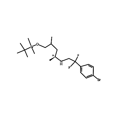 CC(CO[Si](C)(C)C(C)(C)C)C[C@H](C)NCC(F)(F)c1ccc(Br)cc1